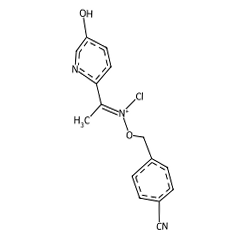 CC(c1ccc(O)cn1)=[N+](Cl)OCc1ccc(C#N)cc1